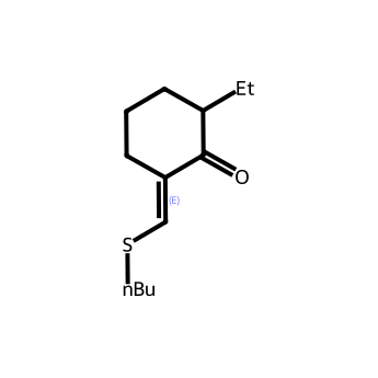 CCCCS/C=C1\CCCC(CC)C1=O